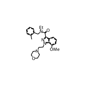 CCN(Cc1ccccc1C)C(=O)c1nn(CCN2CCOCC2)c2c(OC)cccc12